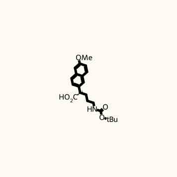 COc1ccc2cc([C@H](CCCNC(=O)OC(C)(C)C)C(=O)O)ccc2c1